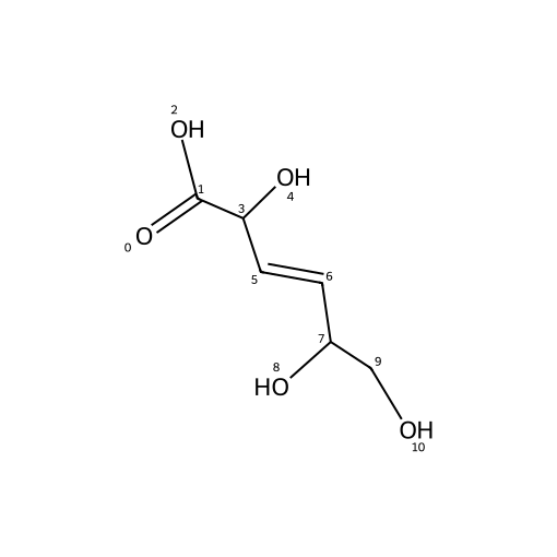 O=C(O)C(O)C=CC(O)CO